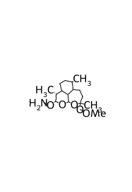 COOC1(C)CCC2C3C(OC(ON)[C@H](C)C3CC[C@H]2C)O1